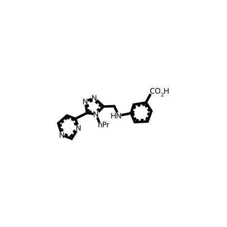 CCCn1c(CNc2cccc(C(=O)O)c2)nnc1-c1ccncn1